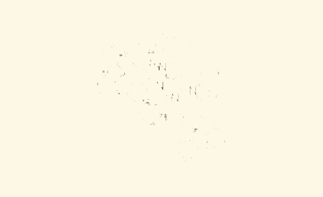 c1ccc(-c2nc(-n3c4ccccc4c4ccc5c(c43)-c3ccccc3C5(c3ccccc3)c3ccccc3)cc(-n3c4ccccc4c4ccc5c(c43)-c3ccccc3C5(c3ccccc3)c3ccccc3)n2)cc1